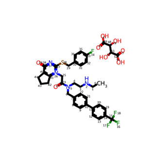 CCNCCN(Cc1ccc(-c2ccc(C(F)(F)F)cc2)cc1)C(=O)Cn1c(SCc2ccc(F)cc2)nc(=O)c2c1CCC2.O=C(O)C(O)C(O)C(=O)O